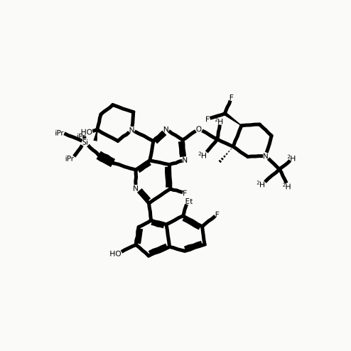 [2H]C([2H])([2H])N1CC[C@H](C(F)F)[C@](C)(C([2H])([2H])Oc2nc(N3CCC[C@@](C)(O)C3)c3c(C#C[Si](C(C)C)(C(C)C)C(C)C)nc(-c4cc(O)cc5ccc(F)c(CC)c45)c(F)c3n2)C1